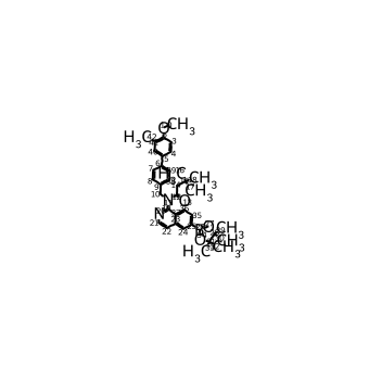 COc1ccc(-c2ccc(CN(C(=O)CC(C)(C)C)c3nccc4cc(B5OC(C)(C)C(C)(C)O5)ccc34)cc2)cc1C